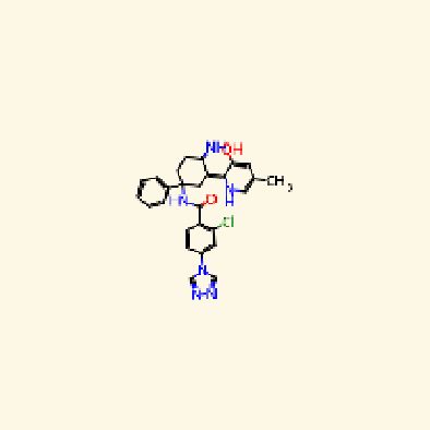 CC1=CN/C(=C2\CC(NC(=O)c3ccc(-n4cnnc4)cc3Cl)(c3ccccc3)CCC2=N)C(O)=C1